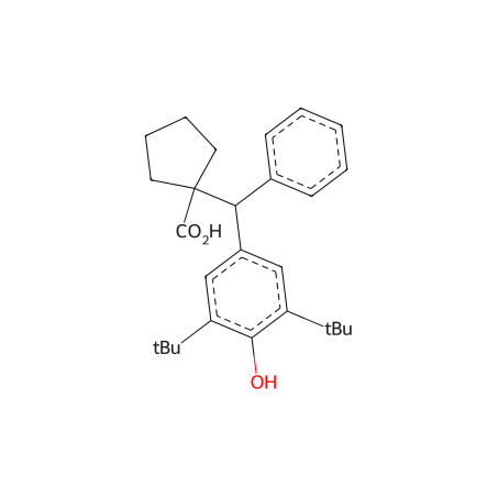 CC(C)(C)c1cc(C(c2ccccc2)C2(C(=O)O)CCCC2)cc(C(C)(C)C)c1O